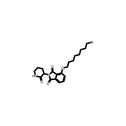 O=C1NCCCC1N1C(=O)c2cccc(OCCCCCCCCBr)c2C1=O